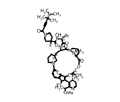 CCC1C(C2=C(C(C)OC)N=CCC2)=C2CC(C)(C)COC(=O)C3=[N+](C)N(CCC3)C(=O)C(NC(=O)[C@H](C(C)C)N(C)C(=O)C3(F)CCN(C(=O)C#CC(C)(C)N(C)C)CC3)C[C@@H]3CCCN(C3)c3ccc1c2c3